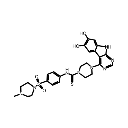 CN1CCN(S(=O)(=O)c2ccc(NC(=S)N3CCN(c4ncnc5[nH]c6cc(O)c(O)cc6c45)CC3)cc2)CC1